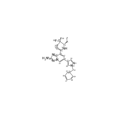 CC[C@@H](NC(=O)c1cc(-c2cnn(Cc3ccccc3)c2)cn2nc(N)nc12)C(F)(F)F